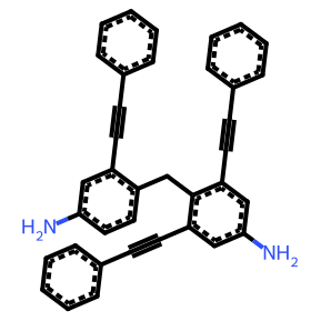 Nc1ccc(Cc2c(C#Cc3ccccc3)cc(N)cc2C#Cc2ccccc2)c(C#Cc2ccccc2)c1